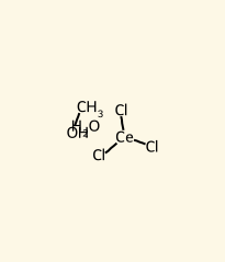 CO.O.[Cl][Ce]([Cl])[Cl]